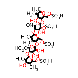 CC1[C@@H](O[C@H]2C(O)C(OS(=O)(=O)O)[C@H](O[C@@H]3C(COS(=O)(=O)O)O[C@H](C)C(C)[C@H]3O)O[C@H]2N=O)OC(COS(=O)(=O)O)[C@@H](O[C@@H]2OC(C(=O)O)[C@@H](O[C@H]3OC(COS(=O)(=O)O)[C@@H](C)[C@H](O)C3C)[C@H](O)C2O)[C@@H]1C